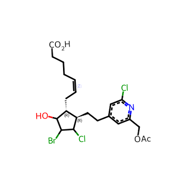 CC(=O)OCc1cc(CC[C@H]2C(Cl)C(Br)C(O)[C@@H]2C/C=C\CCCC(=O)O)cc(Cl)n1